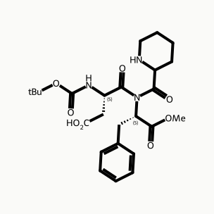 COC(=O)[C@H](Cc1ccccc1)N(C(=O)C1CCCCN1)C(=O)[C@H](CC(=O)O)NC(=O)OC(C)(C)C